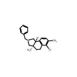 Cc1ccc2c(c1Cl)CC[C@@]1(C)CN(Cc3ccccc3)C[C@H]21